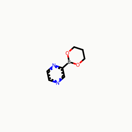 c1cnc(B2OCCCO2)cn1